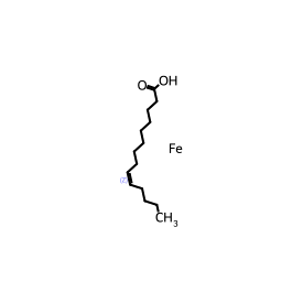 CCCC/C=C\CCCCCCCC(=O)O.[Fe]